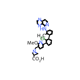 COc1nc(-c2cccc(-c3cccc(Nc4nccc5nccnc45)c3C)c2Cl)ccc1CN1CC(C(=O)O)C1